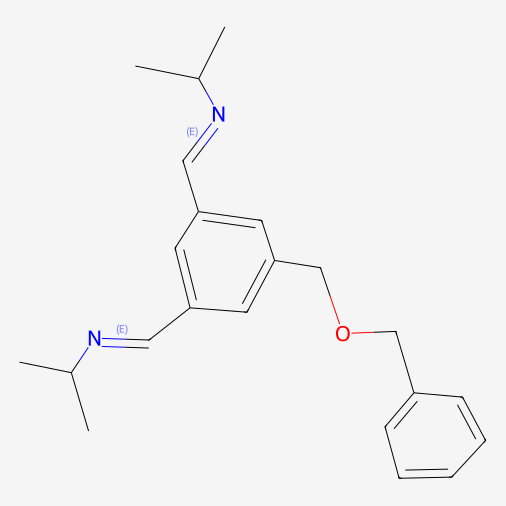 CC(C)/N=C/c1cc(/C=N/C(C)C)cc(COCc2ccccc2)c1